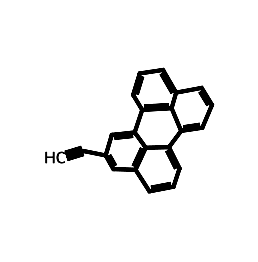 C#Cc1cc2cccc3c4cccc5cccc(c(c1)c23)c54